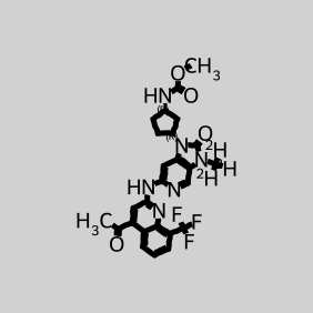 [2H]C([2H])([2H])n1c(=O)n([C@@H]2CC[C@@H](NC(=O)OC)C2)c2cc(Nc3cc(C(C)=O)c4cccc(C(F)(F)F)c4n3)ncc21